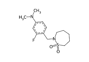 CN(C)c1ccc(CN2CCCCCS2(=O)=O)c(F)c1